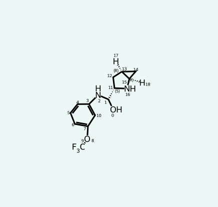 OC(Nc1cccc(OC(F)(F)F)c1)[C@@H]1C[C@H]2C[C@H]2N1